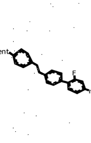 CCCCCc1ccc(CCc2ccc(-c3ccc(CCCC)cc3F)cc2)cc1